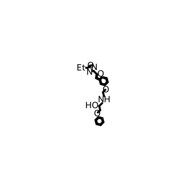 CCc1nc(-c2cc3cc(OCCNC[C@H](O)COc4ccccc4)ccc3o2)no1